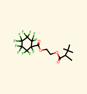 CC(C(=O)OCCOC(=O)C1(F)C(F)(F)C(F)(F)C(F)(F)C(F)(F)C1(F)F)C(C)(C)C